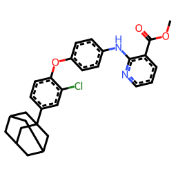 COC(=O)c1cccnc1Nc1ccc(Oc2ccc(C34CC5CC(CC(C5)C3)C4)cc2Cl)cc1